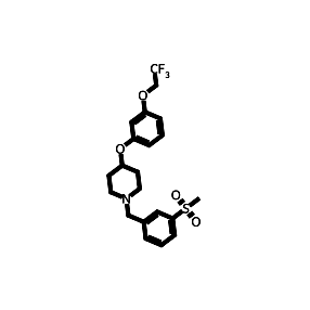 CS(=O)(=O)c1cccc(CN2CCC(Oc3cccc(OCC(F)(F)F)c3)CC2)c1